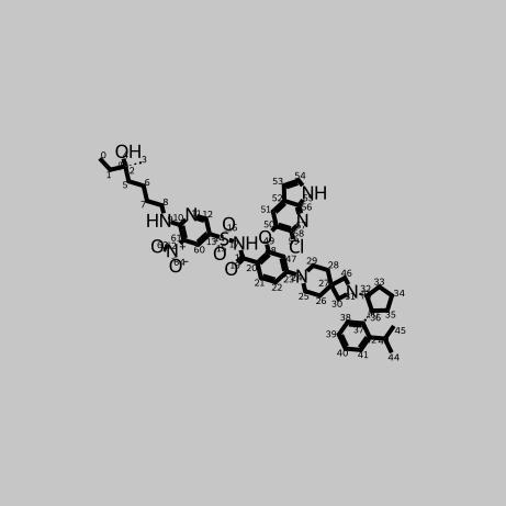 CC[C@@](C)(O)CCCCNc1ncc(S(=O)(=O)NC(=O)c2ccc(N3CCC4(CC3)CN([C@@H]3CCC[C@@H]3c3ccccc3C(C)C)C4)cc2Oc2cc3cc[nH]c3nc2Cl)cc1[N+](=O)[O-]